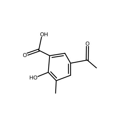 CC(=O)c1cc(C)c(O)c(C(=O)O)c1